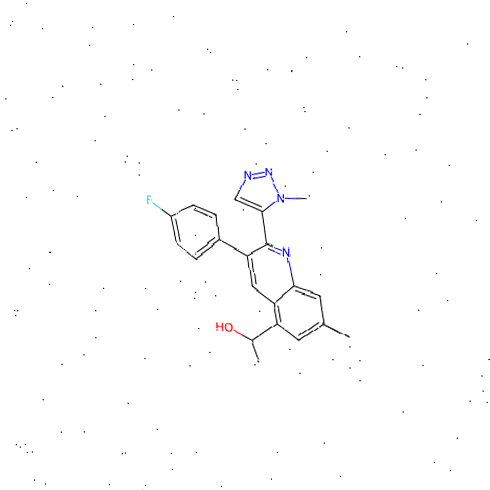 Cc1cc(C(C)O)c2cc(-c3ccc(F)cc3)c(-c3cnnn3C)nc2c1